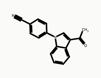 CC(=O)c1cn(-c2ccc(C#N)cc2)c2ccccc12